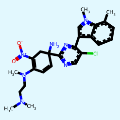 Cc1cccc2c(-c3nc(C4(N)C=CC(N(C)CCN(C)C)=C([N+](=O)[O-])C4)ncc3Cl)cn(C)c12